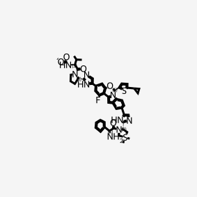 COC(=O)N[C@H](C(=O)N1CCC[C@H]1c1ncc(-c2cc(F)c3c(c2)O[C@@H](c2ccc(C4CC4)s2)n2c-3cc3cc(-c4cnc([C@@H]5CS(C)(C)CN5C(=O)[C@@H](N)c5ccccc5)[nH]4)ccc32)[nH]1)C(C)C